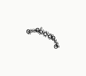 Cc1cc(-c2ccc(-c3ccc(OCCCCC4CO4)cc3)cc2)ccc1OCCCCC1CO1